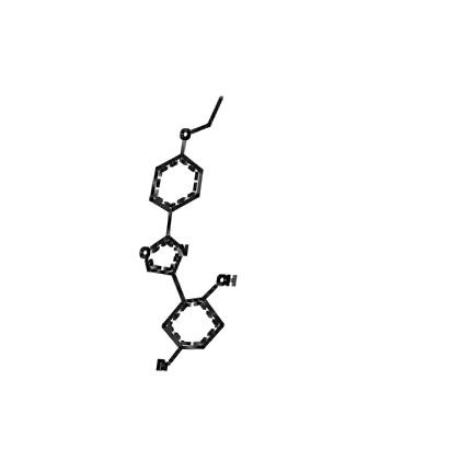 CCOc1ccc(-c2nc(-c3cc(Br)ccc3O)co2)cc1